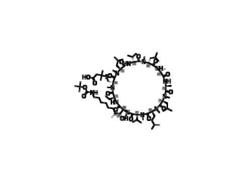 CC[C@@H]1NC(=O)[C@H]([C@H](O)[C@H](C)CCCCCCNC(=O)OC(C)(C)C)N(C)C(=O)[C@H](C(C)C)N(C)C(=O)[C@H](CCC(C)C)N(C)C(=O)[C@H](CC(C)C)N(C)C(=O)[C@H](C)NC(=O)[C@@H](C)NC(=O)[C@@H](CC(C)C)N(C)C(=O)[C@@H](C(C)C)NC(=O)[C@H](CC(C)C)N(C)C(=O)[C@@H](CSC(C)(C)CC(=O)O)N(C)C1=O